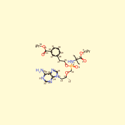 CCCOC(=O)C(C)(C)NP(=O)(CO[C@H](C)Cn1cnc2c(N)ncnc21)OCCc1cccc(C(=O)OC(C)C)c1